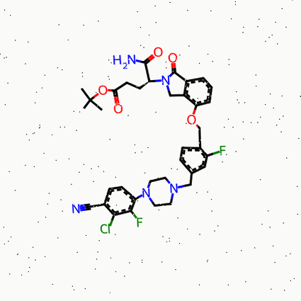 CC(C)(C)OC(=O)CC[C@@H](C(N)=O)N1Cc2c(OCc3ccc(CN4CCN(c5ccc(C#N)c(Cl)c5F)CC4)cc3F)cccc2C1=O